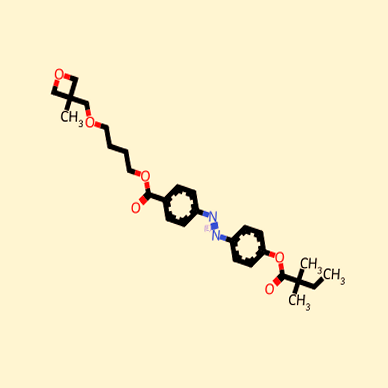 CCC(C)(C)C(=O)Oc1ccc(/N=N/c2ccc(C(=O)OCCCCOCC3(C)COC3)cc2)cc1